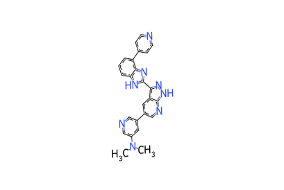 CN(C)c1cncc(-c2cnc3[nH]nc(-c4nc5c(-c6ccncc6)cccc5[nH]4)c3c2)c1